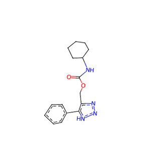 O=C(NC1CCCCC1)OCc1nn[nH]c1-c1ccccc1